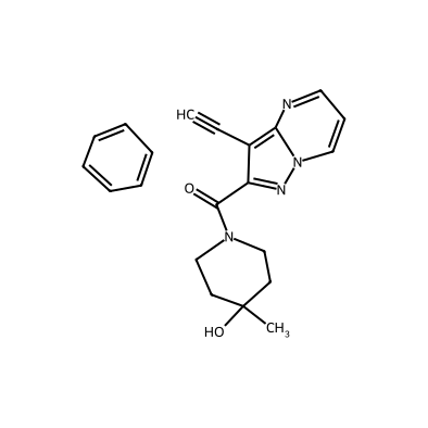 C#Cc1c(C(=O)N2CCC(C)(O)CC2)nn2cccnc12.c1ccccc1